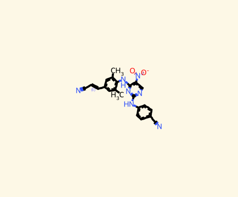 Cc1cc(/C=C/C#N)cc(C)c1Nc1nc(Nc2ccc(C#N)cc2)ncc1[N+](=O)[O-]